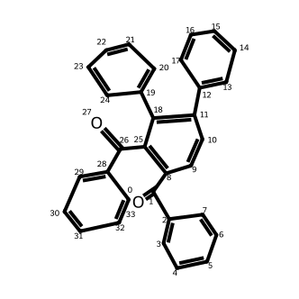 O=C(c1ccccc1)c1ccc(-c2ccccc2)c(-c2ccccc2)c1C(=O)c1ccccc1